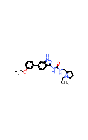 CCN1CCCC1CNC(=O)Nc1n[nH]c2cc(-c3cccc(OC)c3)ccc12